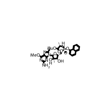 COc1nc(N)nc2c1nc(I)n2C1O[C@H](COP(=O)(N[C@@H](C)C(=O)OCC(C)C)Oc2cccc3ccccc23)[C@@H](O)[C@@]1(C)O